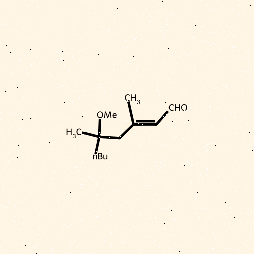 CCCCC(C)(C/C(C)=C/C=O)OC